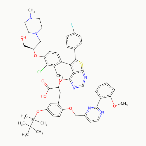 COc1ccccc1-c1nccc(COc2ccc(O[Si](C)(C)C(C)(C)C)cc2CC(Oc2ncnc3sc(-c4ccc(F)cc4)c(-c4ccc(O[C@@H](CO)CN5CCN(C)CC5)c(Cl)c4C)c23)C(=O)O)n1